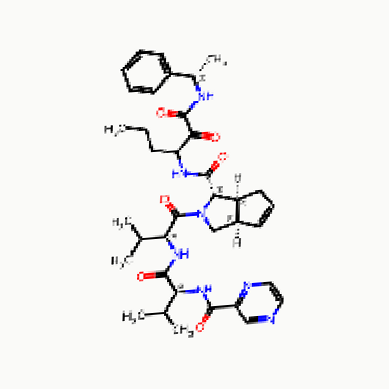 CCCC(NC(=O)[C@@H]1[C@H]2CC=C[C@H]2CN1C(=O)[C@@H](NC(=O)[C@@H](NC(=O)c1cnccn1)C(C)C)C(C)C)C(=O)C(=O)N[C@@H](C)c1ccccc1